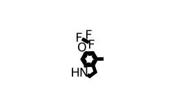 Cc1cc(OC(F)(F)F)cc2c1CCN2